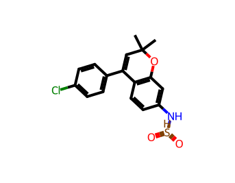 CC1(C)C=C(c2ccc(Cl)cc2)c2ccc(N[SH](=O)=O)cc2O1